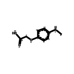 CBc1ccc(OCC(=O)O)cc1